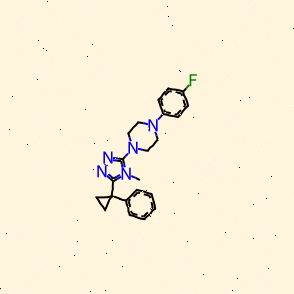 Cn1c(N2CCN(c3ccc(F)cc3)CC2)nnc1C1(c2ccccc2)CC1